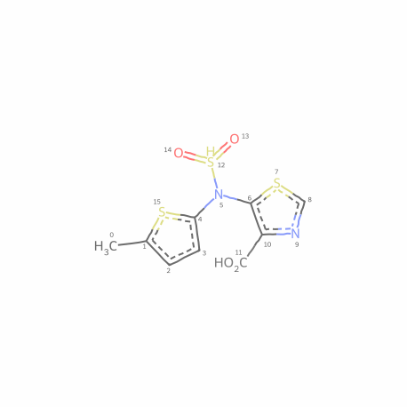 Cc1ccc(N(c2scnc2C(=O)O)[SH](=O)=O)s1